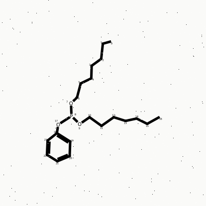 CCCCCCCOP(OCCCCCCC)Oc1ccccc1